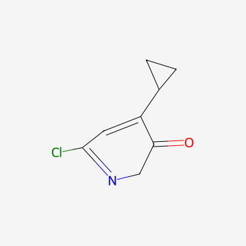 O=C1CN=C(Cl)C=C1C1CC1